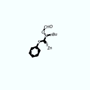 CCCCN(OC=O)C(=S)Sc1ccccc1.[Zn]